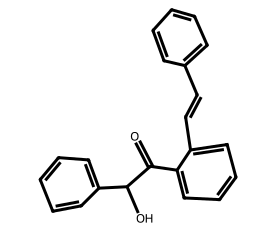 O=C(c1ccccc1C=Cc1ccccc1)C(O)c1ccccc1